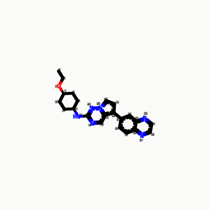 CCO[C@H]1CC[C@@H](Nc2ncc3c(-c4ccc5nccnc5c4)ccn3n2)CC1